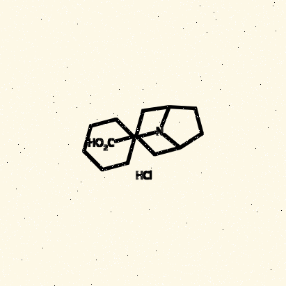 Cl.O=C(O)C1CC2CCC(C1)N2C1CCCCC1